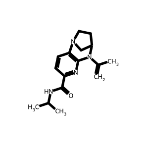 C=C(C)N1c2nc(C(=O)NC(C)C)ccc2N2CCC1C2